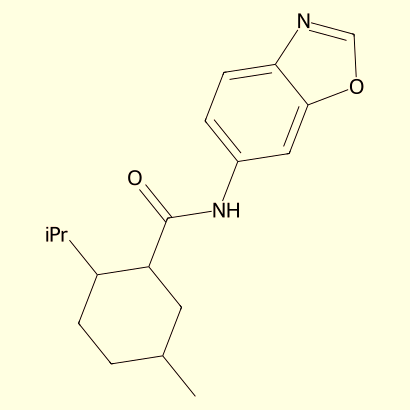 CC1CCC(C(C)C)C(C(=O)Nc2ccc3ncoc3c2)C1